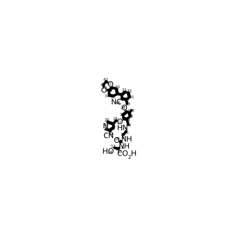 Cc1cc(CNCCNC(=O)N[C@@H](CO)C(=O)O)c(OCc2cncc(C#N)c2)cc1OCc1cccc(-c2ccc3c(c2)OCCO3)c1C#N